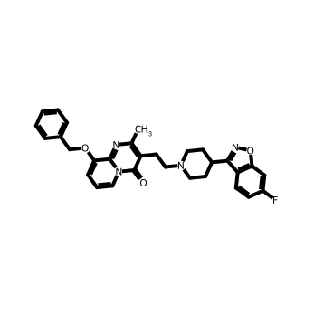 Cc1nc2c(OCc3ccccc3)cccn2c(=O)c1CCN1CCC(c2noc3cc(F)ccc23)CC1